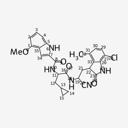 COc1cccc2[nH]c(C(=O)NC(CC3CC3)C(=O)NC(C#N)CC3C(=O)Nc4c(Cl)ccc(C)c43)cc12